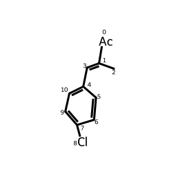 CC(=O)/C(C)=C/c1ccc(Cl)cc1